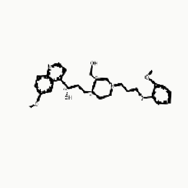 COc1ccc2nccc([C@@H](O)CC[C@@H]3CCN(CCCSc4ccccc4OC)C[C@@H]3CO)c2c1